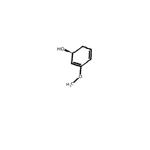 COC1=C[C@@H](O)CC=C1